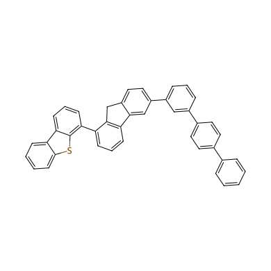 c1ccc(-c2ccc(-c3cccc(-c4ccc5c(c4)-c4cccc(-c6cccc7c6sc6ccccc67)c4C5)c3)cc2)cc1